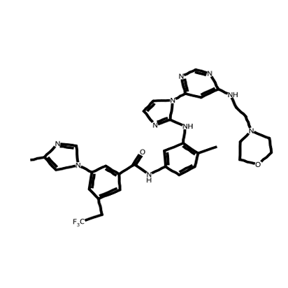 Cc1cn(-c2cc(CC(F)(F)F)cc(C(=O)Nc3ccc(C)c(Nc4nccn4-c4cc(NCCN5CCOCC5)ncn4)c3)c2)cn1